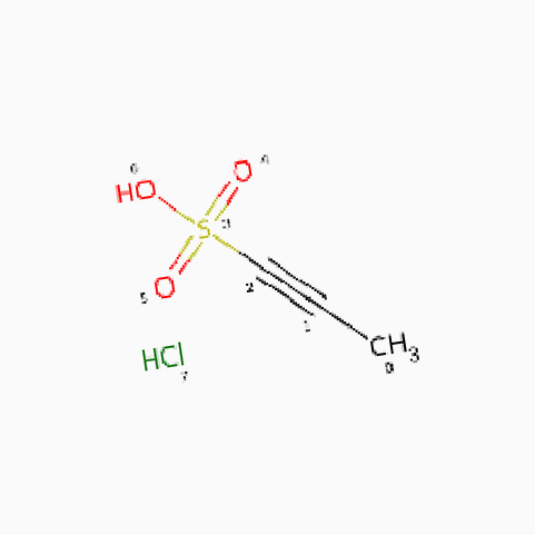 CC#CS(=O)(=O)O.Cl